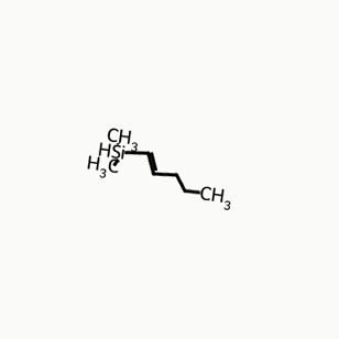 CCCC=C[SiH](C)C